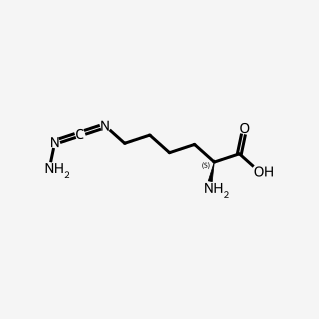 NN=C=NCCCC[C@H](N)C(=O)O